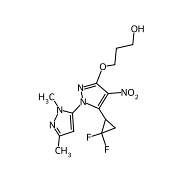 Cc1cc(-n2nc(OCCCO)c([N+](=O)[O-])c2C2CC2(F)F)n(C)n1